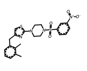 Cc1cccc(Cc2csc(N3CCN(S(=O)(=O)c4cccc([N+](=O)[O-])c4)CC3)n2)c1C